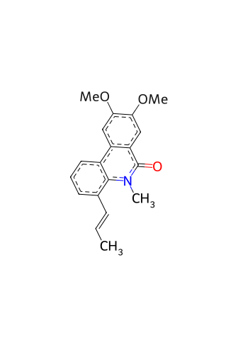 C/C=C/c1cccc2c3cc(OC)c(OC)cc3c(=O)n(C)c12